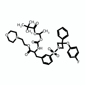 CC(OC(=O)NC(Cc1cccc(S(=O)(=O)N2CC(Oc3ccc(F)cc3)(c3ccccc3)C2)c1)C(=O)OCCN1CCOCC1)OC(=O)C(C)(C)C